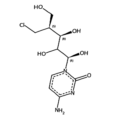 Nc1ccn([C@H](O)C(O)[C@H](O)[C@H](CO)CCl)c(=O)n1